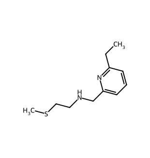 CCc1cccc(CNCCSC)n1